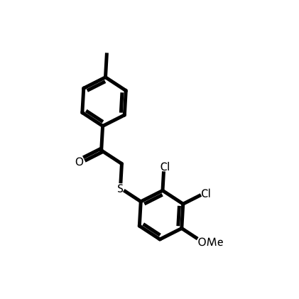 COc1ccc(SCC(=O)c2ccc(C)cc2)c(Cl)c1Cl